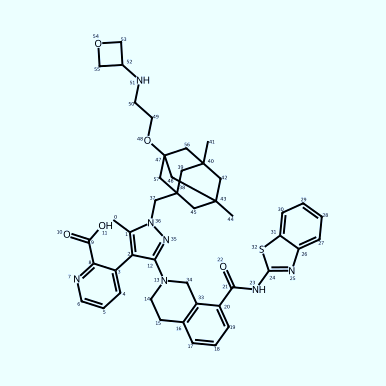 Cc1c(-c2cccnc2C(=O)O)c(N2CCc3cccc(C(=O)Nc4nc5ccccc5s4)c3C2)nn1CC12CC3(C)CC(C)(C1)CC(OCCNC1COC1)(C3)C2